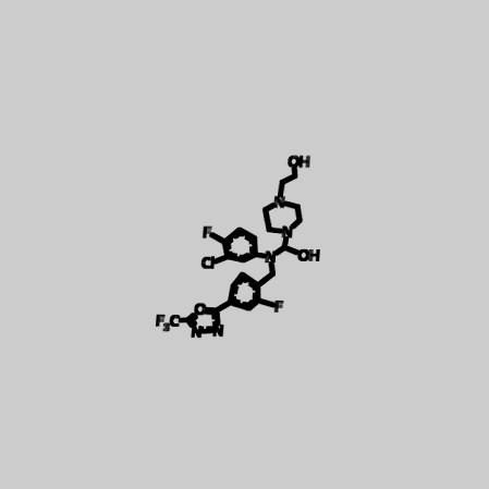 OCCN1CCN(C(O)N(Cc2ccc(-c3nnc(C(F)(F)F)o3)cc2F)c2ccc(F)c(Cl)c2)CC1